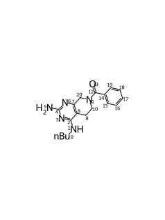 CCCCNc1nc(N)nc2c1CCN(C(=O)c1ccccc1)C2